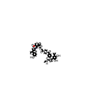 CCNC(=O)c1nnc(-c2cc(C(C)C)c(O)cc2O)n1-c1ccc(C(=O)N2CCN(C(=O)COC(=O)OC3(CC)C(=O)OCC(C=O)=C3/C=C3/c4nc5ccc(O)cc5c(CC)c4CN3C)CC2)cc1